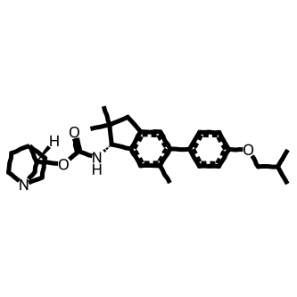 Cc1cc2c(cc1-c1ccc(OCC(C)C)cc1)CC(C)(C)[C@H]2NC(=O)O[C@@H]1CN2CCC1CC2